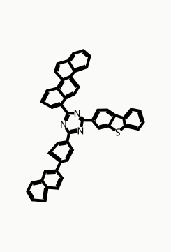 c1ccc2cc(-c3ccc(-c4nc(-c5ccc6c(c5)sc5ccccc56)nc(-c5cccc6c5ccc5c7ccccc7ccc65)n4)cc3)ccc2c1